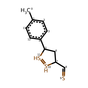 Cc1ccc(C2CC(C=S)[SH]=[SH]2)cc1